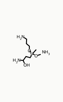 CO[Si](C)(CCC(N)O)OCCCN.N